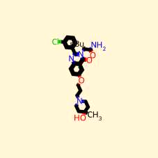 CCCCC(C(N)=O)n1c(-c2cccc(Cl)c2)nc2ccc(OCCCN3CCC(C)(O)CC3)cc2c1=O